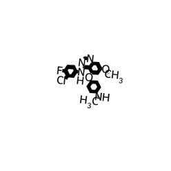 CN[C@H]1CC[C@H](Oc2cc(OC)cc3ncnc(Nc4ccc(F)c(Cl)c4)c23)CC1